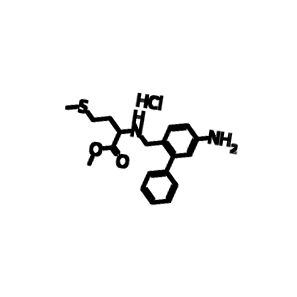 COC(=O)C(CCSC)NCc1ccc(N)cc1-c1ccccc1.Cl